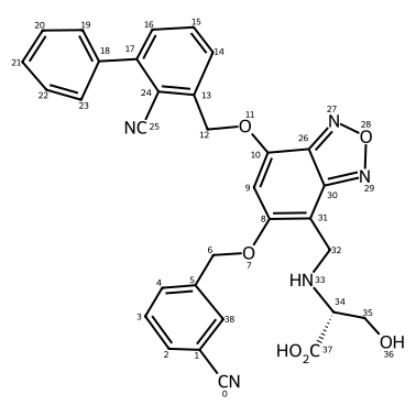 N#Cc1cccc(COc2cc(OCc3cccc(-c4ccccc4)c3C#N)c3nonc3c2CN[C@H](CO)C(=O)O)c1